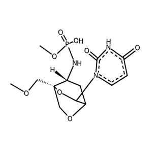 COC[C@]12COC(C[C@H]1NP(=O)(O)OC)C(n1ccc(=O)[nH]c1=O)O2